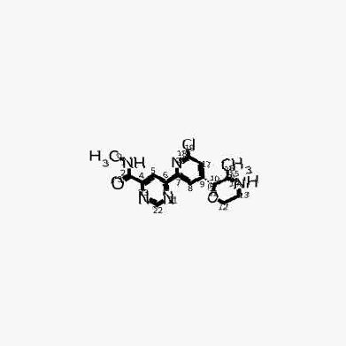 CNC(=O)c1cc(-c2cc([C@H]3OCCN[C@@H]3C)cc(Cl)n2)ncn1